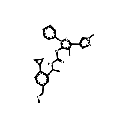 COCc1ccc(C2CC2)c(C(C)NC(=O)Nc2c(C)c(-c3cnn(C)c3)nn2-c2ccccc2)c1